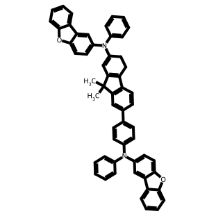 CC1(C)C2=C(CCC(N(c3ccccc3)c3ccc4oc5ccccc5c4c3)=C2)c2ccc(-c3ccc(N(c4ccccc4)c4ccc5oc6ccccc6c5c4)cc3)cc21